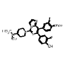 COc1ccc(-c2c(-c3ccc(C#N)c(F)c3)nc(N3CCC(N(C(=O)O)C(C)(C)C)CC3)n3ccnc23)cc1F